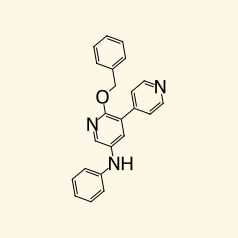 c1ccc(COc2ncc(Nc3ccccc3)cc2-c2ccncc2)cc1